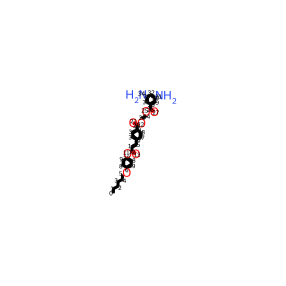 CCCCCCOc1ccc(OC(=O)/C=C/c2ccc(C(=O)OCCOC(=O)c3cc(N)cc(N)c3)cc2)cc1